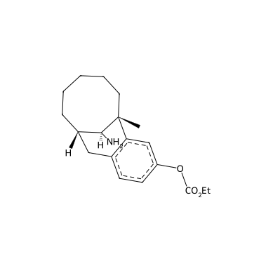 CCOC(=O)Oc1ccc2c(c1)[C@@]1(C)CCCCC[C@@H](C2)[C@@H]1N